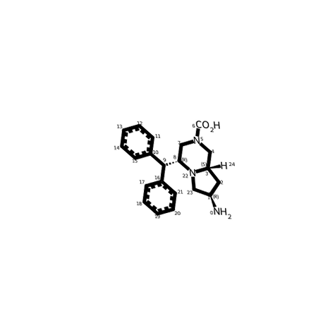 N[C@@H]1C[C@H]2CN(C(=O)O)C[C@@H](C(c3ccccc3)c3ccccc3)N2C1